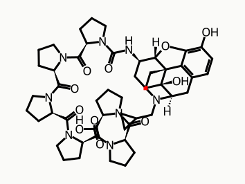 O=C(O)[C@H]1CCCN1C(=O)[C@H]1CCCN1C(=O)[C@H]1CCCN1C(=O)[C@H]1CCCN1C(=O)[C@H]1CCCN1C(=O)[C@H]1CCCN1C(=O)N[C@@H]1CC[C@@]2(O)[C@H]3Cc4ccc(O)c5c4[C@@]2(CCN3CC2CC2)[C@H]1O5